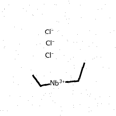 C[CH2][Nb+3][CH2]C.[Cl-].[Cl-].[Cl-]